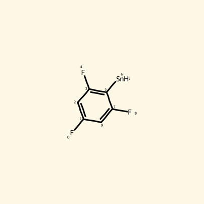 Fc1cc(F)[c]([SnH])c(F)c1